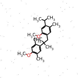 COc1cc(C)c(C(C)(C)Cc2cc(C)c(C(C)C)cc2OC)cc1C